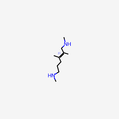 CNCCC/C(C)=C(\C)CNC